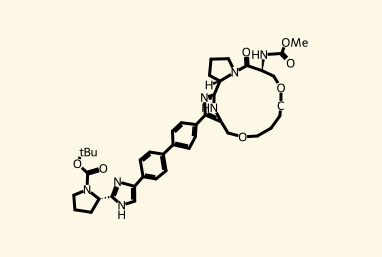 COC(=O)N[C@H]1COCCCCOCc2[nH]c(nc2-c2ccc(-c3ccc(-c4c[nH]c([C@@H]5CCCN5C(=O)OC(C)(C)C)n4)cc3)cc2)[C@@H]2CCCN2C1=O